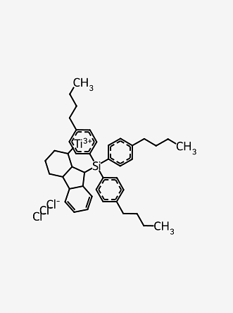 CCCCc1ccc([Si](c2ccc(CCCC)cc2)(c2ccc(CCCC)cc2)C2C3C=CC=CC3C3CCC[CH]([Ti+3])C32)cc1.[Cl-].[Cl-].[Cl-]